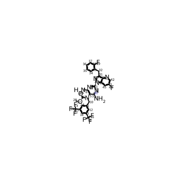 C=C(/N=C(/N)C(=C(N)N)N(Cc1cc(C(F)(F)F)cc(C(F)(F)F)c1)C(=O)OC)n1nc(Cc2ccccc2F)c2ncc(F)cc21